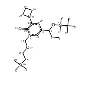 CCC(O[Si](C)(C)C(C)(C)C)c1cn(COCC[Si](C)(C)C)c(=O)c(N2CCC2)n1